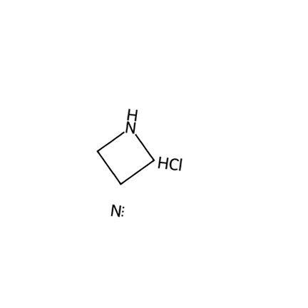 C1CNC1.Cl.[N]